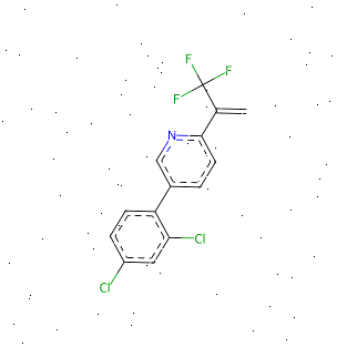 C=C(c1ccc(-c2ccc(Cl)cc2Cl)cn1)C(F)(F)F